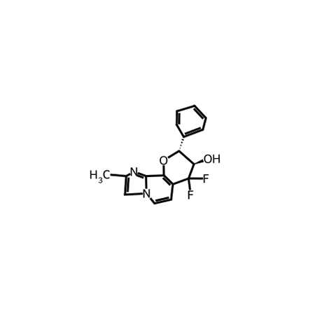 Cc1cn2ccc3c(c2n1)O[C@H](c1ccccc1)[C@@H](O)C3(F)F